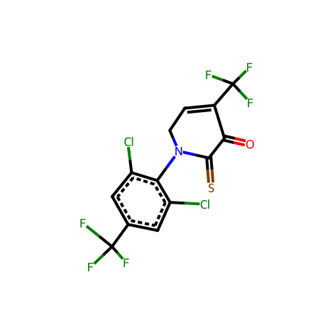 O=C1C(=S)N(c2c(Cl)cc(C(F)(F)F)cc2Cl)CC=C1C(F)(F)F